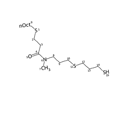 CCCCCCCCSCCC(=O)N(C)CCCSCCCS